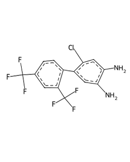 Nc1cc(Cl)c(-c2ccc(C(F)(F)F)cc2C(F)(F)F)cc1N